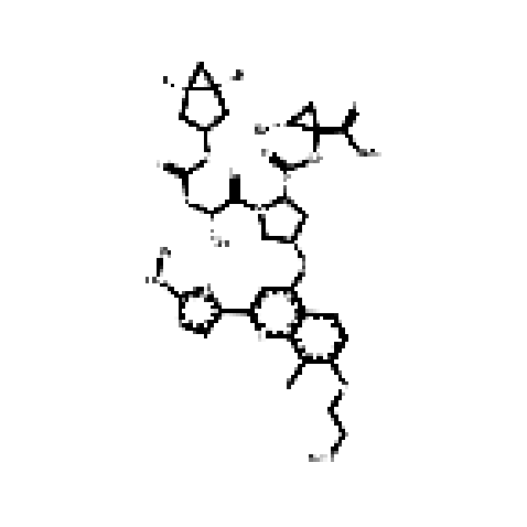 CC[C@@H]1CC1(NC(=O)[C@@H]1C[C@@H](Oc2cc(-c3csc(NC(C)C)n3)nc3c(Cl)c(OCCOC)ccc23)CN1C(=O)[C@@H](NC(=O)O[C@@H]1C[C@@H]2C[C@@H]2C1)C(C)(C)C)C(=O)OC